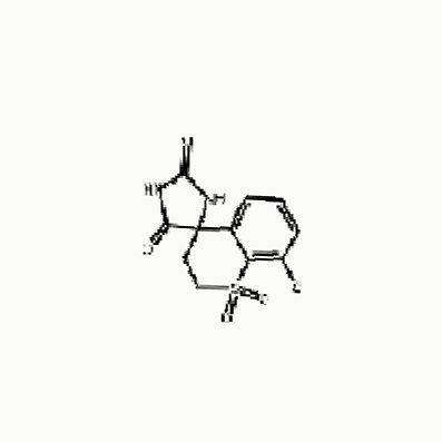 O=C1NC(=O)C2(CCS(=O)(=O)c3c(Cl)cccc32)N1